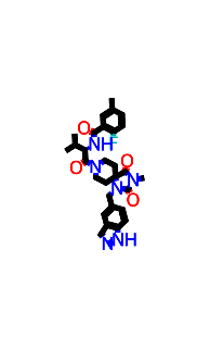 Cc1ccc(F)c(C(=O)N[C@@H](C(=O)N2CCC3(CC2)C(=O)N(C)C(=O)N3Cc2ccc3[nH]ncc3c2)C(C)C)c1